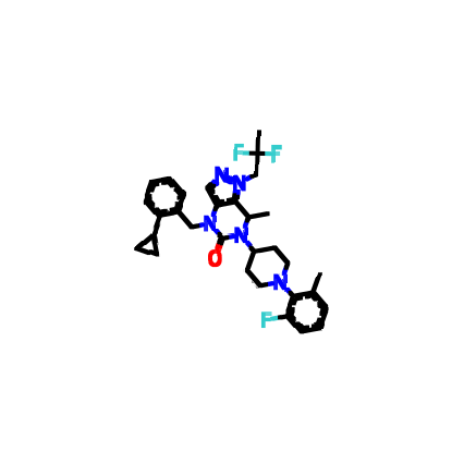 Cc1cccc(F)c1N1CCC(N2C(=O)N(Cc3ccccc3C3CC3)c3cnn(CC(C)(F)F)c3C2C)CC1